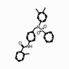 Cc1ccc(N(Cc2ccc(NC(=O)c3ccccc3C)cc2)S(=O)(=O)c2ccccc2)cc1C